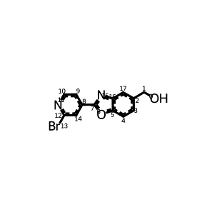 OCc1ccc2oc(-c3ccnc(Br)c3)nc2c1